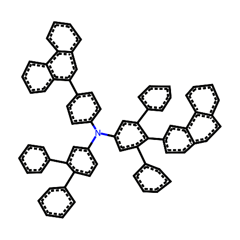 c1ccc(-c2ccc(N(c3ccc(-c4cc5ccccc5c5ccccc45)cc3)c3cc(-c4ccccc4)c(-c4ccc5ccc6ccccc6c5c4)c(-c4ccccc4)c3)cc2-c2ccccc2)cc1